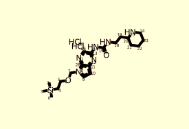 C[Si](C)(C)CCOCn1ccc2nc(NC(=O)NCCC3CCCCN3)cnc21.Cl.Cl